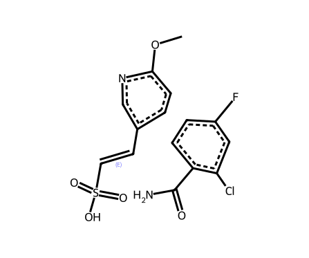 COc1ccc(/C=C/S(=O)(=O)O)cn1.NC(=O)c1ccc(F)cc1Cl